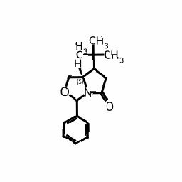 CC(C)(C)C1CC(=O)N2C(c3ccccc3)OC[C@H]12